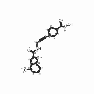 O=C(NO)c1ccc(C#CCNC(=O)c2cc3c(C(F)(F)F)cccc3s2)cc1